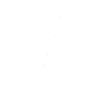 O=C(O)N(S)Cc1cn(-c2cc(F)c(N3CCN(C(=O)CCCO)CC3)c(F)c2)nn1